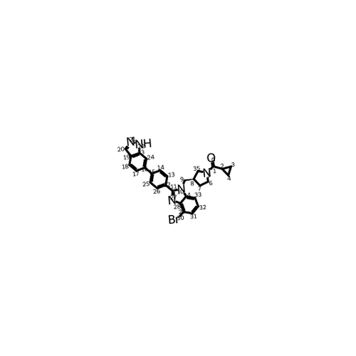 O=C(C1CC1)N1CC[C@@H](Cn2c(-c3ccc(-c4ccc5cn[nH]c5c4)cc3)nc3c(Br)cccc32)C1